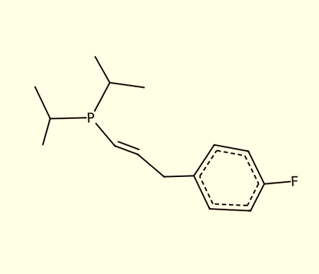 CC(C)P(C=CCc1ccc(F)cc1)C(C)C